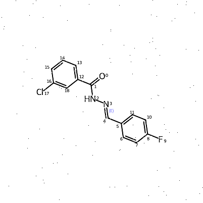 O=C(N/N=C/c1ccc(F)cc1)c1cccc(Cl)c1